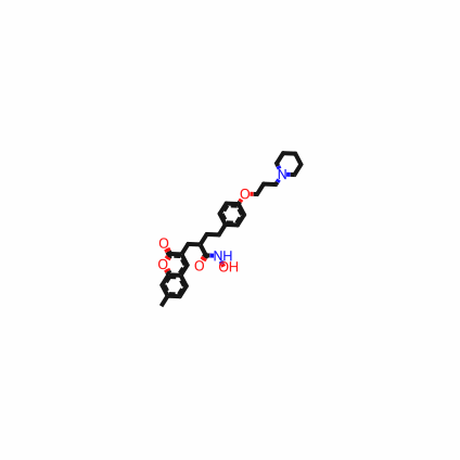 Cc1ccc2cc(CC(CCc3ccc(OCCCN4CCCCC4)cc3)C(=O)NO)c(=O)oc2c1